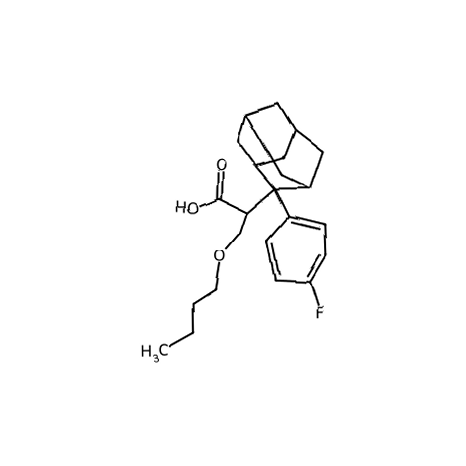 CCCCOCC(C(=O)O)C1(c2ccc(F)cc2)C2CC3CC(C2)CC1C3